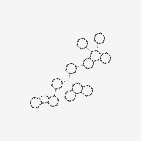 c1ccc(-c2c(-c3ccccc3)c3cc(-c4cccc(N(c5cccc(-c6cccc7c6oc6ccccc67)c5)c5cc6ccccc6c6ccccc56)c4)ccc3c3ccccc23)cc1